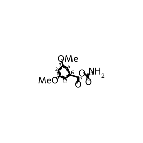 COc1cc(OC)cc(C(=O)OC(N)=O)c1